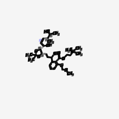 COCOc1cccc(C(S)CC[C@@H]2OC(C)(C)O[C@@H]2C(O)/C=C\[C@@H](C)[C@H](C)O)c1C(=O)OCC[Si](C)(C)C